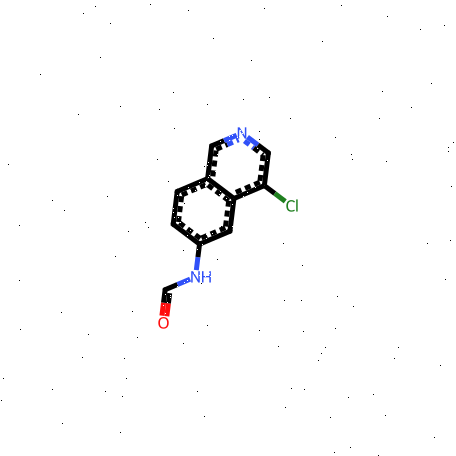 O=CNc1ccc2cncc(Cl)c2c1